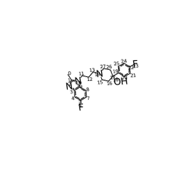 Cc1nc2cc(F)ccc2n1CCCN1CCC(O)(c2ccc(F)cc2)CC1